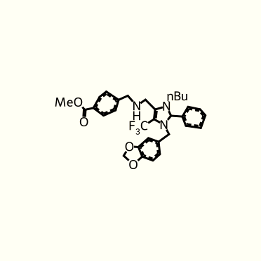 CCCCN1C(CNCc2ccc(C(=O)OC)cc2)=C(C(F)(F)F)N(Cc2ccc3c(c2)OCO3)C1c1ccccc1